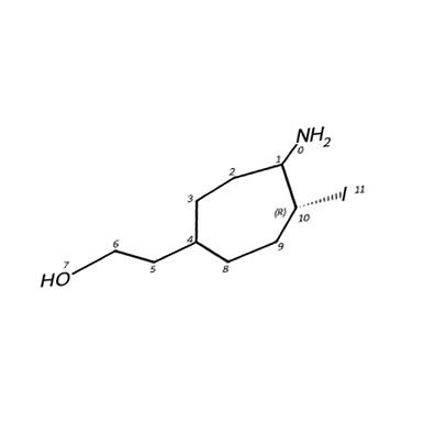 NC1CCC(CCO)CC[C@H]1I